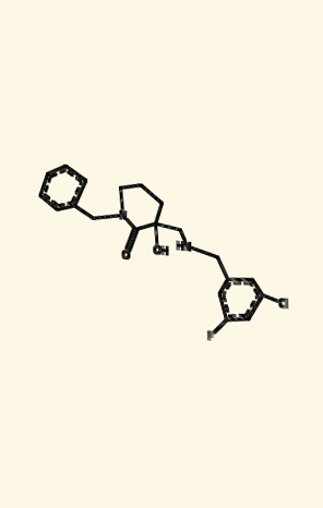 O=C1N(Cc2ccccc2)CCCC1(O)CNCc1cc(F)cc(Cl)c1